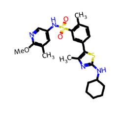 COc1ncc(NS(=O)(=O)c2cc(-c3sc(NC4CCCCC4)nc3C)ccc2C)cc1C